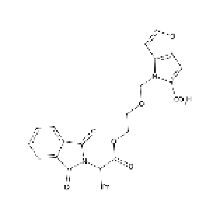 CC(C)C(C(=O)OCCOCn1c(C(=O)O)cc2occc21)N1C(=O)c2ccccc2C1=O